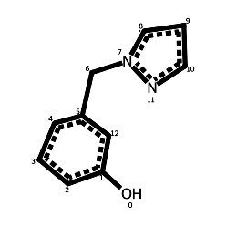 Oc1cccc(Cn2[c]ccn2)c1